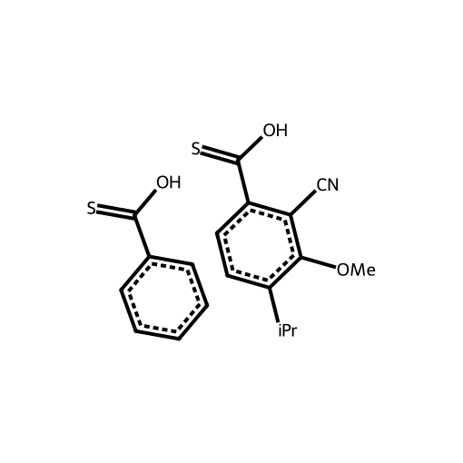 COc1c(C(C)C)ccc(C(O)=S)c1C#N.OC(=S)c1ccccc1